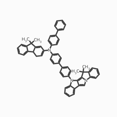 CC1(C)C2=CC(N(c3ccc(-c4ccccc4)cc3)c3ccc(-c4ccc(-n5c6ccccc6c6cn7c(c65)C(C)(C)c5ccccc5-7)cc4)cc3)=CCC2c2ccccc21